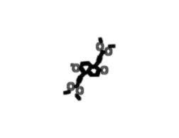 CCOC(C#Cc1c(OC)ccc2c(C#CC(OCC)OCC)c(OC)ccc12)OCC